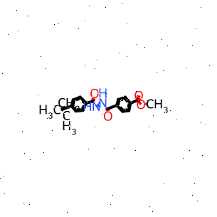 COC(=O)c1ccc(C(=O)NNC(=O)c2ccc(C(C)(C)C)cc2)cc1